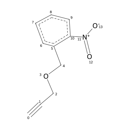 C#CCOCc1ccccc1[N+](=O)[O-]